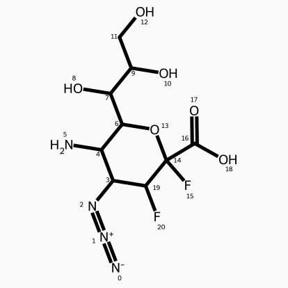 [N-]=[N+]=NC1C(N)C(C(O)C(O)CO)OC(F)(C(=O)O)C1F